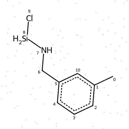 Cc1cccc(CN[SiH2]Cl)c1